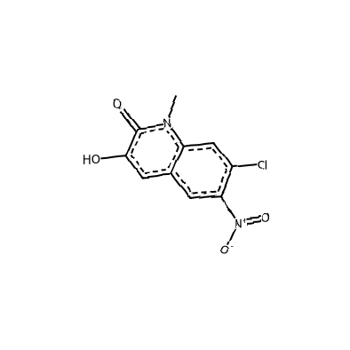 Cn1c(=O)c(O)cc2cc([N+](=O)[O-])c(Cl)cc21